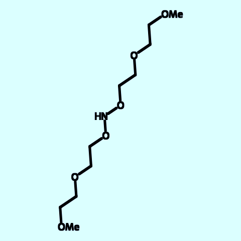 COCCOCCONOCCOCCOC